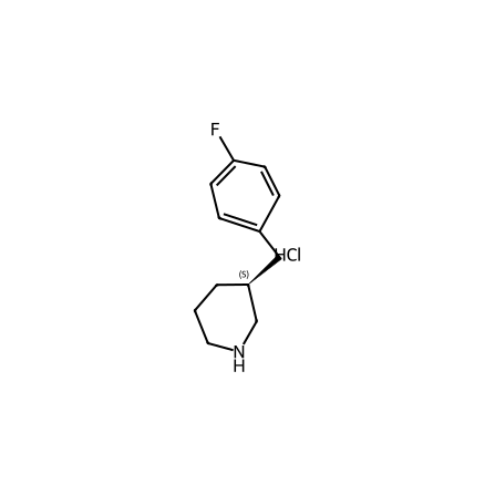 Cl.Fc1ccc(C[C@@H]2CCCNC2)cc1